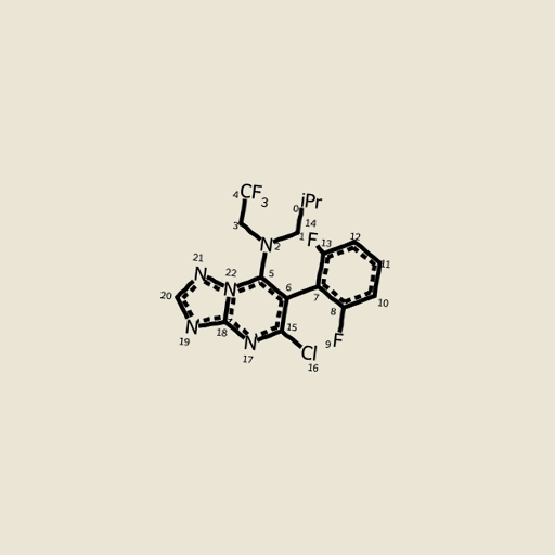 CC(C)CN(CC(F)(F)F)c1c(-c2c(F)cccc2F)c(Cl)nc2ncnn12